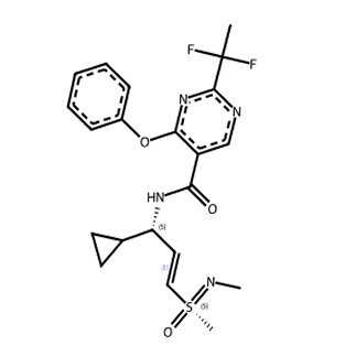 CN=[S@@](C)(=O)/C=C/[C@@H](NC(=O)c1cnc(C(C)(F)F)nc1Oc1ccccc1)C1CC1